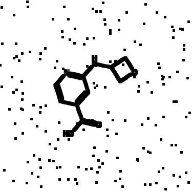 O=C(O)c1ccnc(NC2COC2)c1